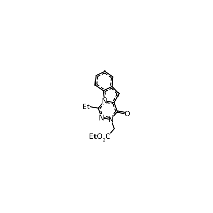 CCOC(=O)Cn1nc(CC)n2c(cc3ccccc32)c1=O